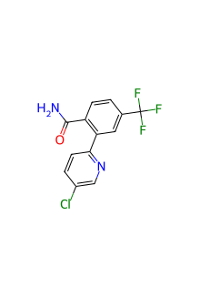 NC(=O)c1ccc(C(F)(F)F)cc1-c1ccc(Cl)cn1